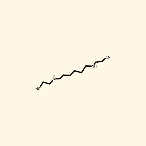 N#CCCNCCCCCCNCCC#N